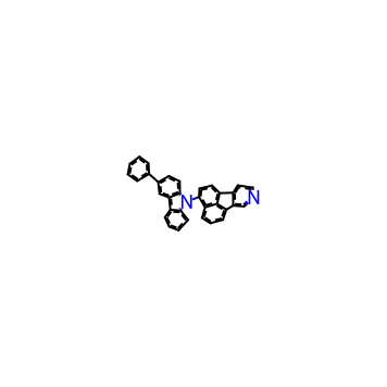 c1ccc(-c2ccc3c(c2)c2ccccc2n3-c2ccc3c4c(cccc24)-c2cnccc2-3)cc1